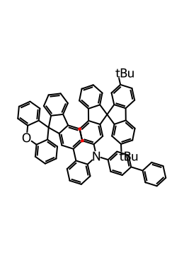 CC(C)(C)c1ccc2c(c1)C1(c3ccccc3-c3ccc(N(c4ccc(-c5ccccc5)cc4)c4ccccc4-c4ccc5c(c4)C4(c6ccccc6Oc6ccccc64)c4ccccc4-5)cc31)c1cc(C(C)(C)C)ccc1-2